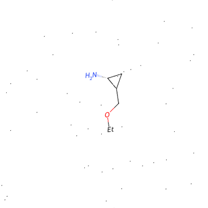 CCOCC1C[C@H]1N